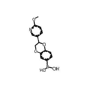 COc1ccc(C2COc3cc(B(O)O)ccc3O2)cn1